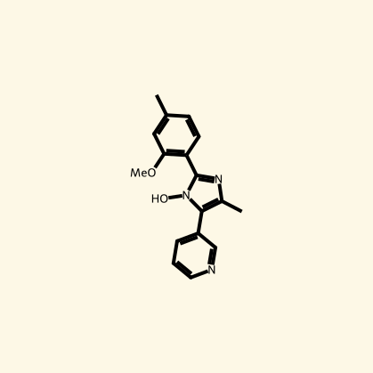 COc1cc(C)ccc1-c1nc(C)c(-c2cccnc2)n1O